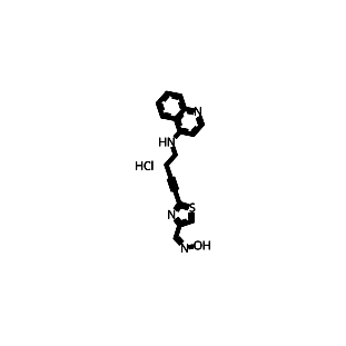 Cl.O/N=C\c1csc(C#CCCNc2ccnc3ccccc23)n1